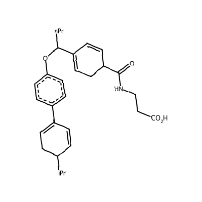 CCCC(Oc1ccc(C2=CCC(C(C)C)C=C2)cc1)C1=CCC(C(=O)NCCC(=O)O)C=C1